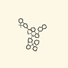 CC1(C)c2ccccc2-c2ccc(C3=CCC(N(c4ccc5c(c4)C(c4ccccc4)(c4ccccc4)c4ccccc4-5)c4cccc(-c5ccc6ccccc6c5)c4-c4ccccc4)C=C3)cc21